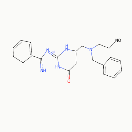 N=C(/N=C1\NC(=O)CC(CN(CCN=O)Cc2ccccc2)N1)C1=CC=CCC1